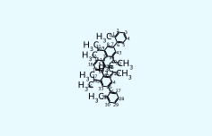 Cc1ccccc1-c1cc(C(C)C)c(-c2cccc(-c3c(C(C)C)cc(-c4ccccc4C)cc3C(C)C)c2)c(C(C)C)c1